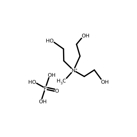 C[N+](CCO)(CCO)CCO.O=P(O)(O)O